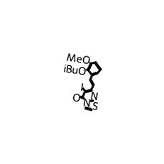 COc1cccc(/C=C/c2nc3sccn3c(=O)c2I)c1OCC(C)C